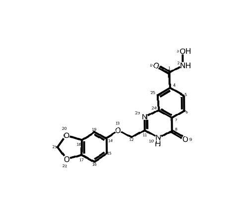 O=C(NO)c1ccc2c(=O)[nH]c(COc3ccc4c(c3)OCO4)nc2c1